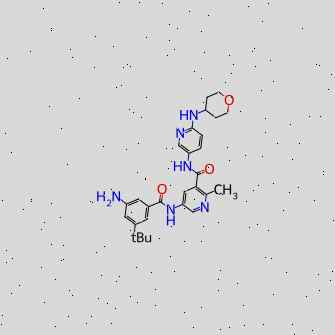 Cc1ncc(NC(=O)c2cc(N)cc(C(C)(C)C)c2)cc1C(=O)Nc1ccc(NC2CCOCC2)nc1